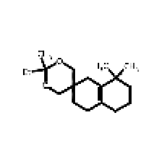 CCC1(C)OCC2(CCC3=C(C2)C(C)(C)CCC3)CO1